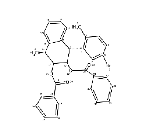 Cc1ccc(Br)cc1[C@H]1c2ccccc2[C@H](C)C(OC(=O)c2ccccc2)C1OC(=O)c1ccccc1